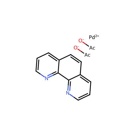 CC(=O)[O-].CC(=O)[O-].[Pd+2].c1cnc2c(c1)ccc1cccnc12